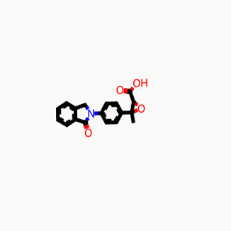 CC1(c2ccc(N3Cc4ccccc4C3=O)cc2)OC1C(=O)O